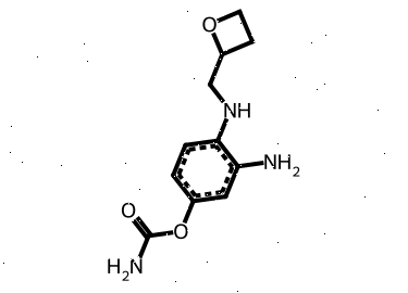 NC(=O)Oc1ccc(NCC2CCO2)c(N)c1